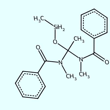 C[SiH2]OC(C)(N(C)C(=O)c1ccccc1)N(C)C(=O)c1ccccc1